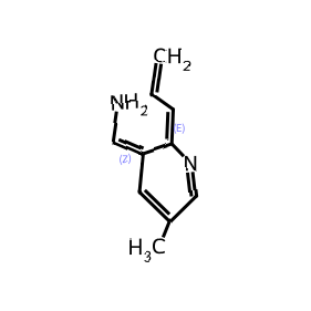 C=C/C=c1/ncc(C)c/c1=C/N